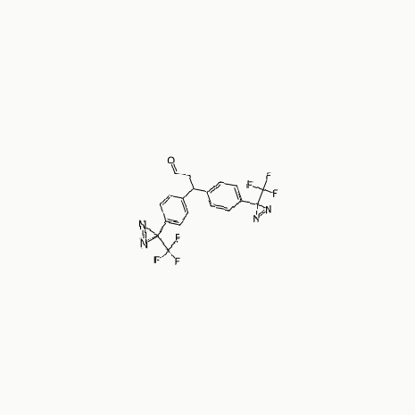 O=CCC(c1ccc(C2(C(F)(F)F)N=N2)cc1)c1ccc(C2(C(F)(F)F)N=N2)cc1